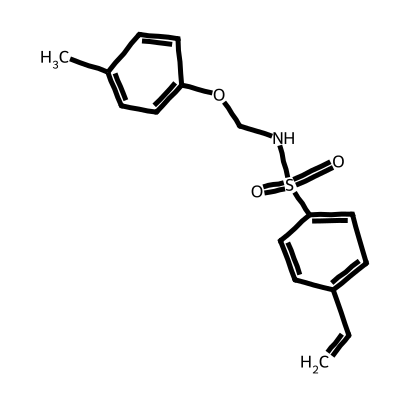 C=Cc1ccc(S(=O)(=O)NCOc2ccc(C)cc2)cc1